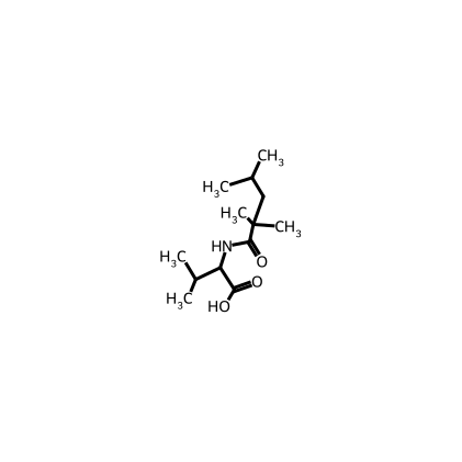 CC(C)CC(C)(C)C(=O)NC(C(=O)O)C(C)C